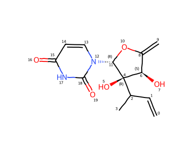 C=CC(C)[C@@]1(O)[C@H](O)C(=C)O[C@H]1n1ccc(=O)[nH]c1=O